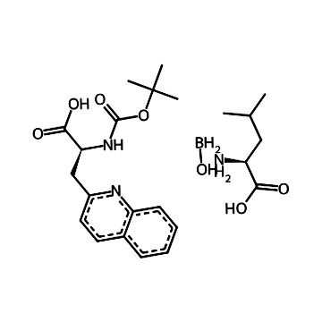 BO.CC(C)(C)OC(=O)N[C@@H](Cc1ccc2ccccc2n1)C(=O)O.CC(C)C[C@H](N)C(=O)O